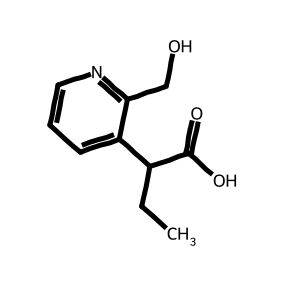 CCC(C(=O)O)c1cccnc1CO